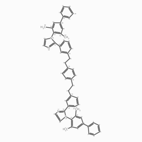 Cc1cc(-c2ccccc2)cc(C)c1-n1ccnc1-c1cccc(CCc2ccc(CCc3cccc(-c4nccn4-c4c(C)cc(-c5ccccc5)cc4C)c3)cc2)c1